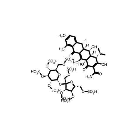 C[C@H]1c2cccc(O)c2C(=O)C2=C(O)[C@]3(O)C(=O)C(C(N)=O)=C(O)[C@@H](N(C)C)[C@@H]3[C@@H](O)[C@@H]21.O.O=S(=O)(O)OC[C@H]1O[C@@](COS(=O)(=O)O)(O[C@H]2O[C@H](COS(=O)(=O)O)[C@@H](OS(=O)(=O)O)[C@H](OS(=O)(=O)O)[C@H]2OS(=O)(=O)O)[C@@H](OS(=O)(=O)O)[C@@H]1OS(=O)(=O)O